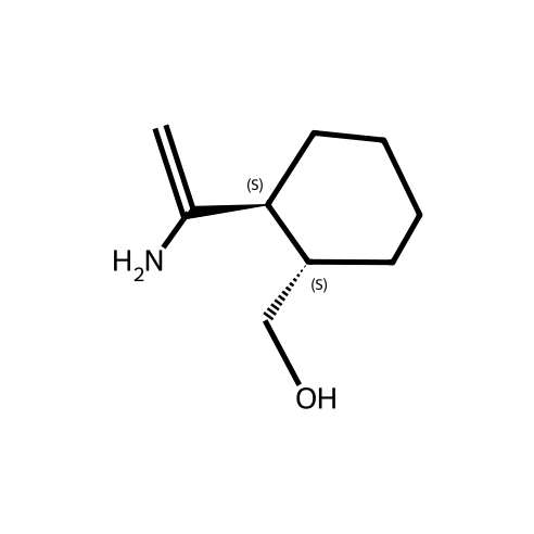 C=C(N)[C@H]1CCCC[C@@H]1CO